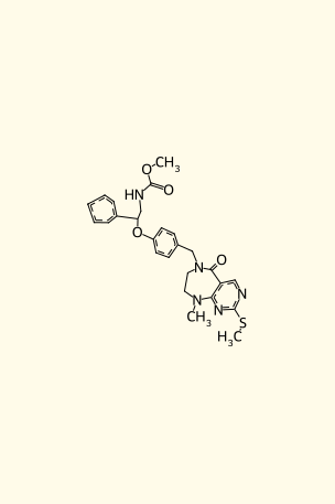 COC(=O)NCC(Oc1ccc(CN2CCN(C)c3nc(SC)ncc3C2=O)cc1)c1ccccc1